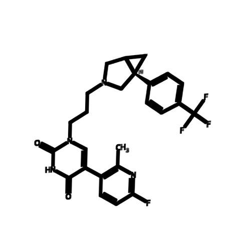 Cc1nc(F)ccc1-c1cn(CCCN2CC3C[C@]3(c3ccc(C(F)(F)F)cc3)C2)c(=O)[nH]c1=O